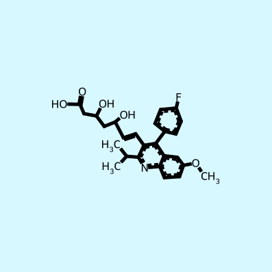 COc1ccc2nc(C(C)C)c(/C=C/C(O)CC(O)CC(=O)O)c(-c3ccc(F)cc3)c2c1